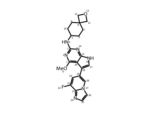 COc1nc(NC2CCC3(CC2)COC3)nc2[nH]cc(-c3cc(F)c4nccn4c3)c12